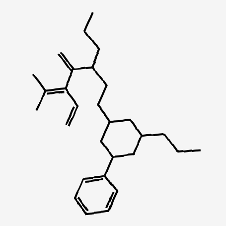 C=CC(C(=C)C(CCC)CCC1CC(CCC)CC(c2ccccc2)C1)=C(C)C